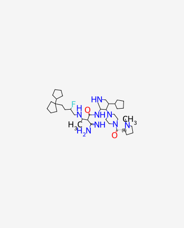 CC(NCC(F)CCC1(C2CCCC2)CCCC1)C(C(=N)N)C(=O)NC1CNCC(C2CCCC2)C1N1CCN(C(=O)[C@H]2CCCN2C)CC1